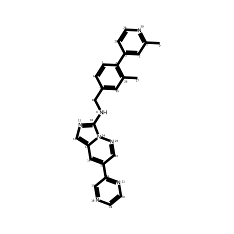 Cc1cc(-c2ccc(CNc3ncc4cc(-c5cnccn5)cnn34)cc2C)ccn1